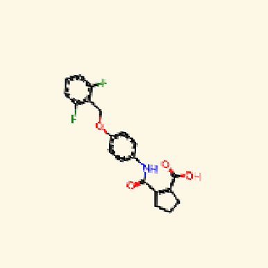 O=C(O)C1=C(C(=O)Nc2ccc(OCc3c(F)cccc3F)cc2)CCC1